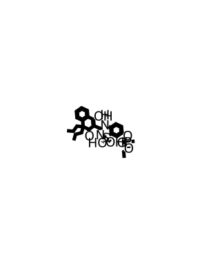 CCCC1(CCC)C(=O)C(C2=NS(O)(O)c3cc(OP(C)(=O)OCC)ccc3N2)=C(O)c2ccccc21